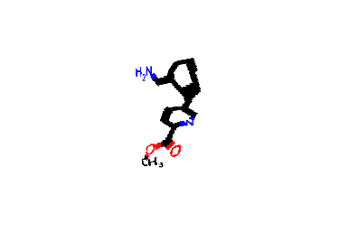 COC(=O)c1ccc(-c2ccccc2CN)cn1